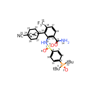 CC(C)(C)P(=O)(c1ccc(S(=O)(=O)Nc2c(C(N)=O)ccc(C(F)(F)F)c2C23CCC(C#N)(CC2)CC3)cc1)C(C)(C)C